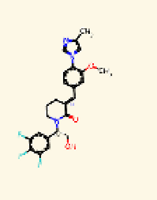 COc1cc(/C=C2\CCCN([C@H](CO)c3cc(F)c(F)c(F)c3)C2=O)ccc1-n1cnc(C)c1